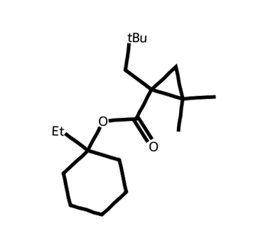 CCC1(OC(=O)C2(CC(C)(C)C)CC2(C)C)CCCCC1